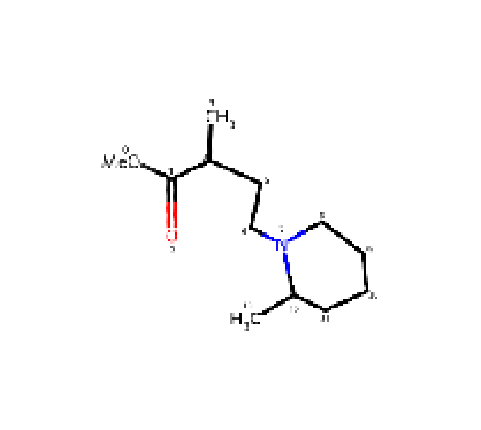 COC(=O)C(C)CCN1CCCCC1C